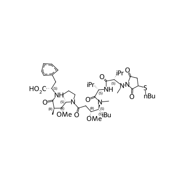 CCCCSC1CC(=O)N(N(C)[C@H](C(=O)N[C@H](C(=O)N(C)[C@@H]([C@@H](C)CC)[C@@H](CC(=O)N2CCC[C@H]2[C@H](OC)[C@@H](C)C(=O)N[C@@H](Cc2ccccc2)C(=O)O)OC)C(C)C)C(C)C)C1=O